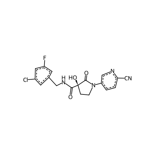 N#Cc1ccc(N2CC[C@](O)(C(=O)NCc3cc(F)cc(Cl)c3)C2=O)cn1